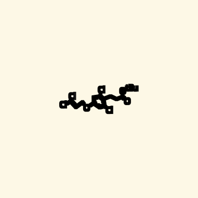 CC(C)(C)OC(=O)CCc1c(Cl)cc(OCC=C(Cl)Cl)cc1Cl